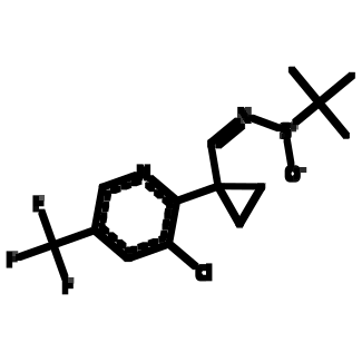 CC(C)(C)[S+]([O-])/N=C\C1(c2ncc(C(F)(F)F)cc2Cl)CC1